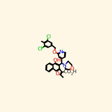 Cc1oc2c(c1C(=O)O)c(C(c1ccnc(OCc3cc(Cl)c(C)c(Cl)c3)c1)N1CCOCC1)c(O)c1ccccc12